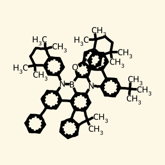 CC(C)(C)c1ccc(N2c3cc4c(c5c3B(c3oc6cc7c(cc6c32)C(C)(C)CCC7(C)C)N(c2ccc3c(c2)C(C)(C)CCC3(C)C)c2ccc(-c3ccccc3)cc2-5)-c2ccccc2C4(C)C)c(-c2ccccc2)c1